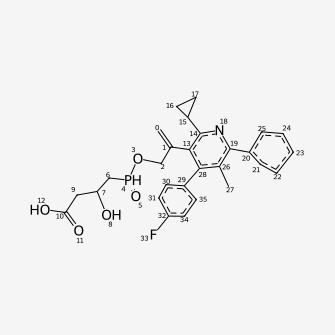 C=C(CO[PH](=O)CC(O)CC(=O)O)c1c(C2CC2)nc(-c2ccccc2)c(C)c1-c1ccc(F)cc1